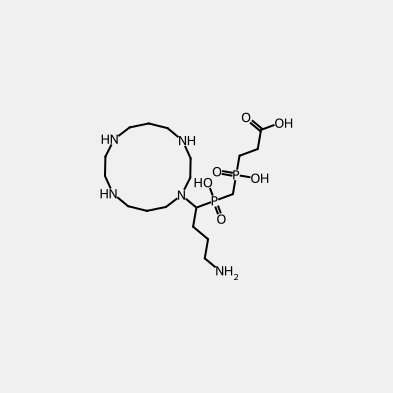 NCCCC(N1CCCNCCNCCCNCC1)P(=O)(O)CP(=O)(O)CCC(=O)O